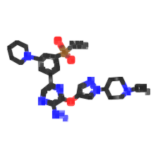 CNS(=O)(=O)c1cc(-c2cnc(N)c(Oc3cnn(C4CCN(C)CC4)c3)n2)cc(N2CCCCC2)c1